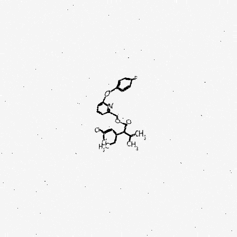 CCC(C=C(Cl)Cl)C(C(=O)OCc1cccc(Oc2ccc(F)cc2)n1)C(C)C